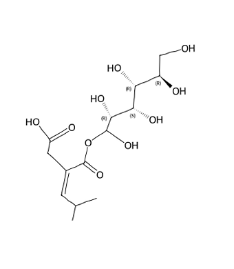 CC(C)C=C(CC(=O)O)C(=O)OC(O)[C@H](O)[C@@H](O)[C@H](O)[C@H](O)CO